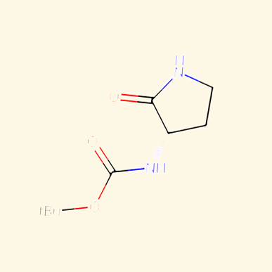 CC(C)(C)OC(=O)N[C@H]1CCNC1=O